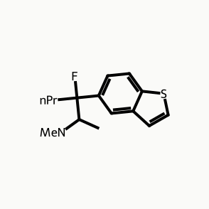 CCCC(F)(c1ccc2sccc2c1)C(C)NC